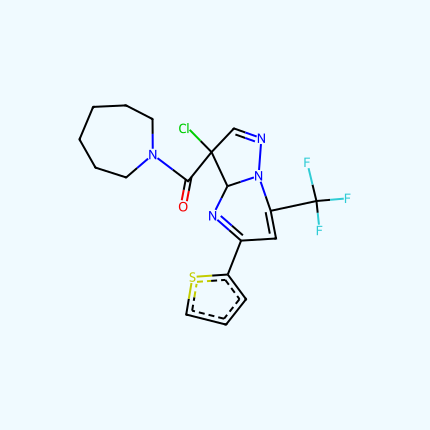 O=C(N1CCCCCC1)C1(Cl)C=NN2C(C(F)(F)F)=CC(c3cccs3)=NC21